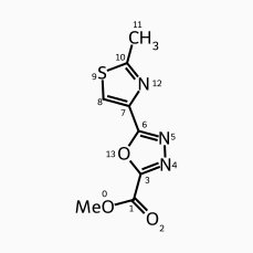 COC(=O)c1nnc(-c2csc(C)n2)o1